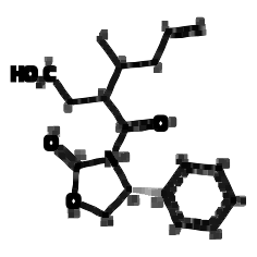 C=CCC(C)C(CC(=O)O)C(=O)N1C(=O)OC[C@H]1c1ccccc1